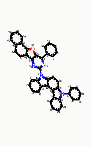 c1ccc(-c2nc(-n3c4ccccc4c4c5c6ccccc6n(-c6ccccc6)c5ccc43)nc3c2oc2c4ccccc4ccc32)cc1